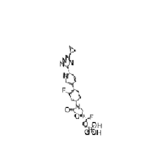 O=C1O[C@@H](C(F)OP(=O)(O)O)CN1c1ccc(-c2ccc(-c3nnn(C4CC4)n3)nc2)c(F)c1